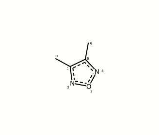 Cc1nonc1C